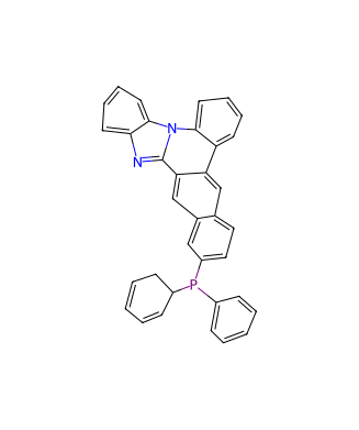 C1=CCC(P(c2ccccc2)c2ccc3cc4c5ccccc5n5c6ccccc6nc5c4cc3c2)C=C1